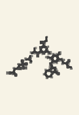 CCNc1nc(Cl)nc(NC(C)C)n1.COC(=O)CSc1cc(/N=c2\sc(=O)n3n2CCCC3)c(F)cc1Cl.C[S+](C)C.O=C(O)CNCP(=O)([O-])O